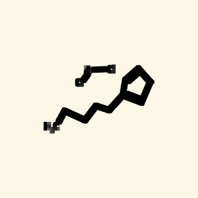 CCCCCC1=C[CH]C=C1.[Cl][Zr][Cl]